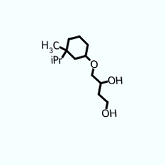 CC(C)C1(C)CCCC(OCC(O)CCO)C1